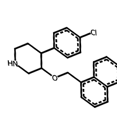 Clc1ccc(C2CCNCC2OCc2cccc3ccccc23)cc1